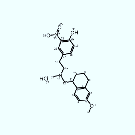 COc1ccc2c(c1)CCCC2CN(C)CCc1ccc(O)c([N+](=O)[O-])c1.Cl